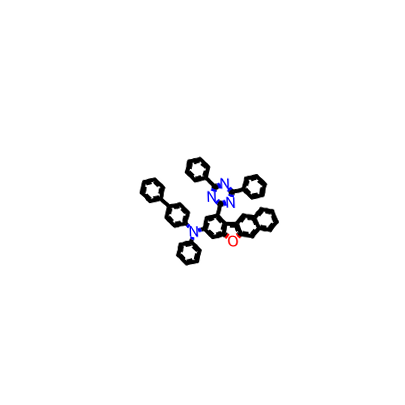 c1ccc(-c2ccc(N(c3ccccc3)c3cc(-c4nc(-c5ccccc5)nc(-c5ccccc5)n4)c4c(c3)oc3cc5ccccc5cc34)cc2)cc1